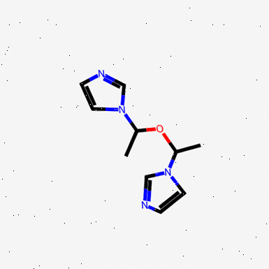 CC(OC(C)n1ccnc1)n1ccnc1